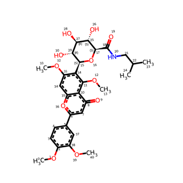 COc1ccc(-c2cc(=O)c3c(OC)c([C@@H]4O[C@H](C(=O)NCC(C)C)[C@@H](O)[C@H](O)[C@H]4O)c(OC)cc3o2)cc1OC